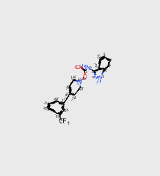 O=C(Nc1n[nH]c2ccccc12)ON1CC=C(c2cccc(C(F)(F)F)c2)CC1